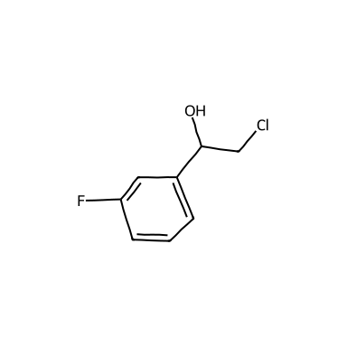 OC(CCl)c1cccc(F)c1